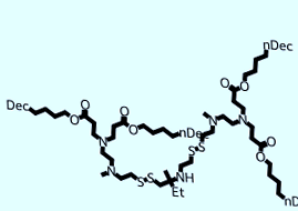 CCCCCCCCCCCCCCOC(=O)CCN(CCC(=O)OCCCCCCCCCCCCCC)CCN(C)CCSSCCNC(C)(CC)CSSCCN(C)CCN(CCC(=O)OCCCCCCCCCCCCCC)CCC(=O)OCCCCCCCCCCCCCC